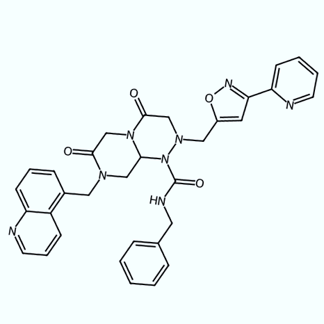 O=C1CN2C(=O)CN(Cc3cc(-c4ccccn4)no3)N(C(=O)NCc3ccccc3)C2CN1Cc1cccc2ncccc12